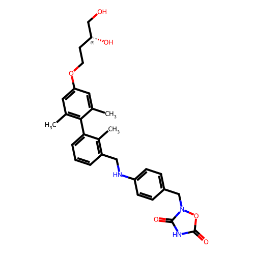 Cc1cc(OCC[C@@H](O)CO)cc(C)c1-c1cccc(CNc2ccc(Cn3oc(=O)[nH]c3=O)cc2)c1C